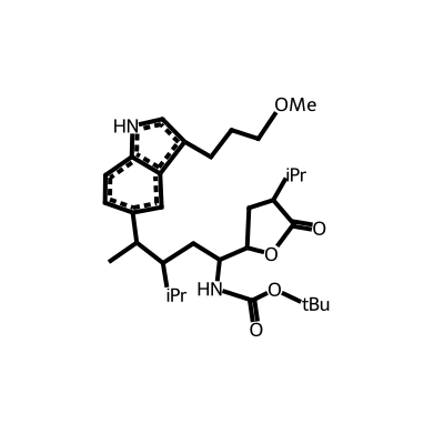 COCCCc1c[nH]c2ccc(C(C)C(CC(NC(=O)OC(C)(C)C)C3CC(C(C)C)C(=O)O3)C(C)C)cc12